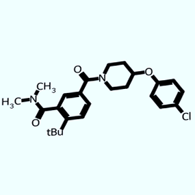 CN(C)C(=O)c1cc(C(=O)N2CCC(Oc3ccc(Cl)cc3)CC2)ccc1C(C)(C)C